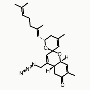 CC(C)=CCC/C(C)=C/[C@@H]1CC(C)=C[C@]2(C=C(CN=[N+]=[N-])[C@H]3CC(=O)C(C)=C[C@H]3O2)O1